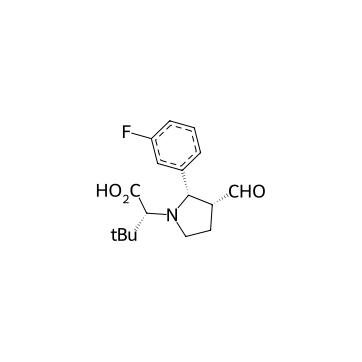 CC(C)(C)[C@H](C(=O)O)N1CC[C@@H](C=O)[C@H]1c1cccc(F)c1